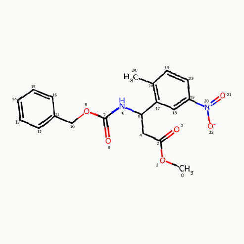 COC(=O)CC(NC(=O)OCc1ccccc1)c1cc([N+](=O)[O-])ccc1C